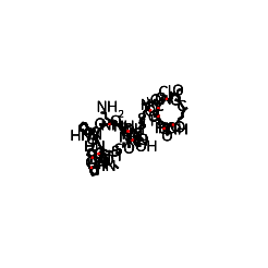 CCNC(=O)N[C@H](Cc1ccccc1)C(=O)N[C@H]1CSSC[C@@H](C(=O)N[C@H](C(=O)NCCSSCCC(=O)N(C)[C@@H](C)C(=O)O[C@H]2CC(=O)N(C)c3cc(cc(OC)c3Cl)C/C(C)=C/C=C/[C@@H](OC)[C@@]3(O)C[C@H](OC(=O)N3)[C@@H](C)[C@@H]3O[C@@]23C)[C@@H](C)O)NC(=O)C(C(C)O)NC(=O)C(CCCCN)NC(=O)[C@@H](Cc2c[nH]c3ccccc23)NC(=O)[C@H](Cc2ccc(O)cc2)NC1=O